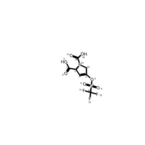 O=C(O)C1C=C(OS(=O)(=O)C(F)(F)F)CN1C(=O)O